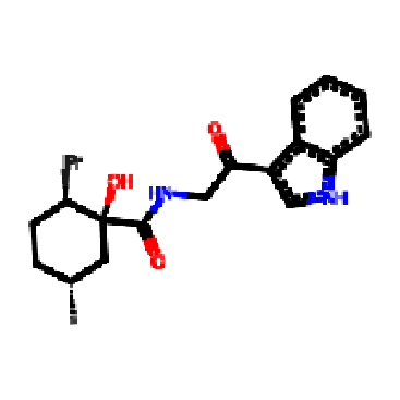 CC(C)[C@@H]1CC[C@@H](C)C[C@@]1(O)C(=O)NCC(=O)c1c[nH]c2ccccc12